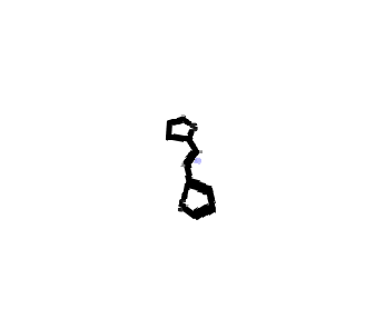 [C](=[C]\c1cccs1)/c1cccs1